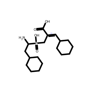 NC(CC1CCCCC1)P(=O)(O)C/C(=C\C1CCCCC1)C(=O)O